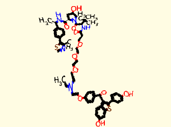 CCN(CCOCCOCCOCCC(=O)N[C@H](C(=O)N1C[C@H](O)C[C@H]1C(=O)N[C@@H](C)c1ccc(-c2scnc2C)cc1)C(C)(C)C)CCOc1ccc(C(=O)c2c(-c3ccc(O)cc3)sc3cc(O)ccc23)cc1